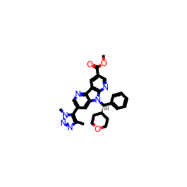 COC(=O)c1cnc2c(c1)c1ncc(-c3c(C)nnn3C)cc1n2[C@H](c1ccccc1)C1CCOCC1